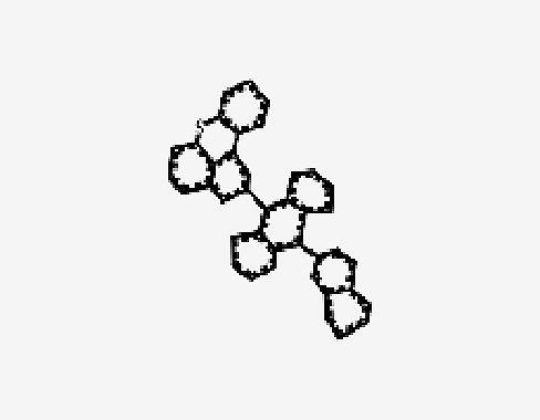 c1ccc2c(c1)Sc1cccc3cc(-c4c5ccccc5c(-c5ccc6ccccc6c5)c5ccccc45)cc-2c13